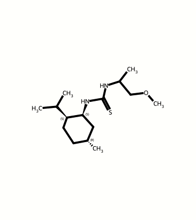 COCC(C)NC(=S)N[C@H]1C[C@H](C)CC[C@H]1C(C)C